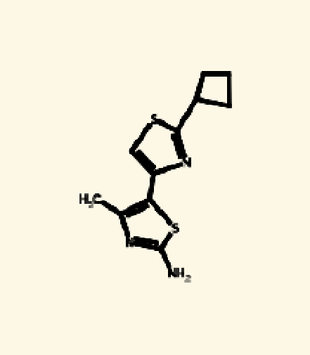 Cc1nc(N)sc1-c1csc(C2CCC2)n1